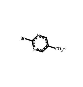 O=C(O)c1cnc(Br)nc1